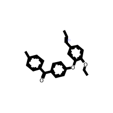 C/C=C/c1ccc(OCC)c(Oc2ccc(C(=O)c3ccc(C)cc3)cc2)c1